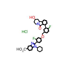 Cl.O=C(O)c1ccc2c(c1)nc(-c1ccc(OCc3ccc(F)c(-c4cccc5c4C(=O)N4CCC(O)CC54)c3)cc1F)n2C1CCCCC1